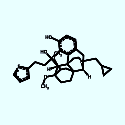 COC12CCC3(CC1[C@](C)(O)CCc1cccs1)[C@H]1Cc4ccc(O)c5c4[C@@]3(CCN1CC1CC1)[C@H]2O5